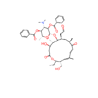 CC[C@H]1OC(=O)C[C@@H](O)[C@H](C)[C@@H](O[C@@H]2O[C@H](C)[C@@H](OC(=O)c3ccccc3)[C@H](N(C)C)[C@H]2OC(=O)c2ccccc2)[C@@H](CC=O)C[C@@H](C)C(=O)/C=C/C(C)=C/[C@@H]1CO